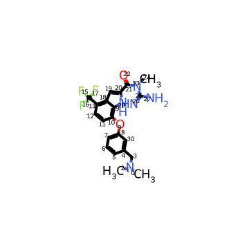 CN(C)Cc1cccc(Oc2ccc(C(F)(F)F)c3cc(C(=O)N(C)C(=N)N)[nH]c23)c1